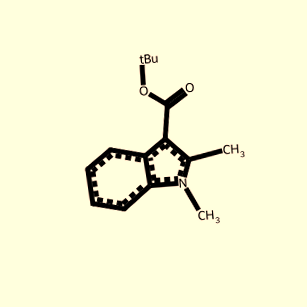 Cc1c(C(=O)OC(C)(C)C)c2ccccc2n1C